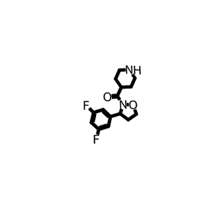 O=C(C1CCNCC1)N1OCCC1c1cc(F)cc(F)c1